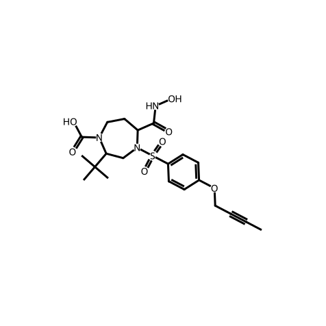 CC#CCOc1ccc(S(=O)(=O)N2CC(C(C)(C)C)N(C(=O)O)CCC2C(=O)NO)cc1